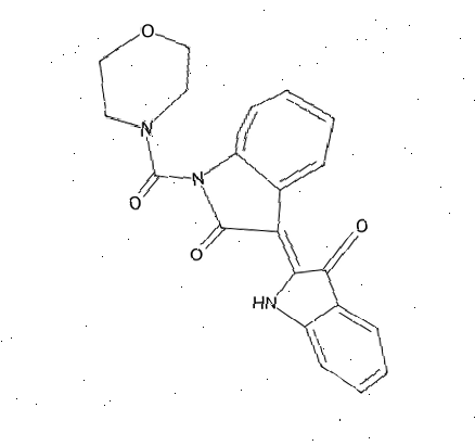 O=C1/C(=C2/C(=O)N(C(=O)N3CCOCC3)c3ccccc32)Nc2ccccc21